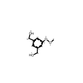 COOc1cc(CO)cc(CO)c1